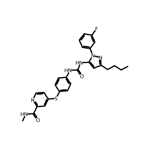 CCCCc1cc(NC(=O)Nc2ccc(Sc3ccnc(C(=O)NC)c3)cc2)n(-c2cccc(F)c2)n1